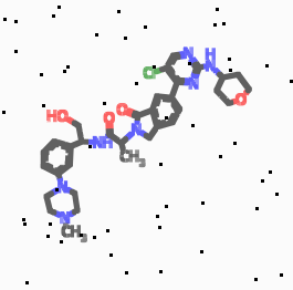 CC(C(=O)NC(CO)c1cccc(N2CCN(C)CC2)c1)N1Cc2ccc(-c3nc(NC4CCOCC4)ncc3Cl)cc2C1=O